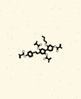 C=C(C)C(=O)Oc1ccc(/C=C/c2cc(OC(=O)C(=C)C)c(-c3ccc(OC(=O)C(=C)C)cc3OCCCC)cc2OC(=O)C(=C)C)cc1